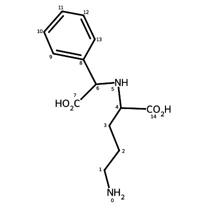 NCCCC(NC(C(=O)O)c1ccccc1)C(=O)O